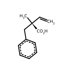 C=C[C@@](C)(Cc1ccccc1)C(=O)O